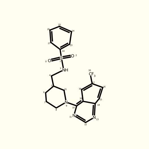 O=S(=O)(NCC1CCCN(c2ncnc3ccc(C(F)(F)F)cc23)C1)c1ccccc1